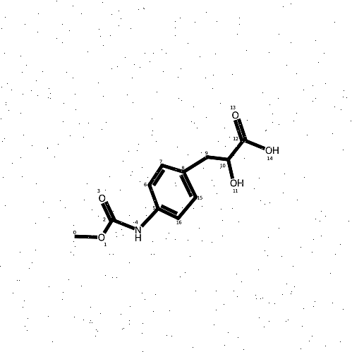 COC(=O)Nc1ccc(CC(O)C(=O)O)cc1